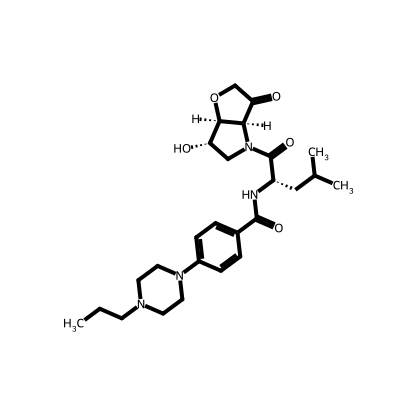 CCCN1CCN(c2ccc(C(=O)N[C@@H](CC(C)C)C(=O)N3C[C@H](O)[C@H]4OCC(=O)[C@H]43)cc2)CC1